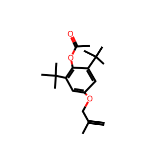 C=C(C)COc1cc(C(C)(C)C)c(OC(C)=O)c(C(C)(C)C)c1